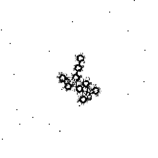 c1ccc(-c2ccc(-c3ccc(N(c4ccc(N5c6ccccc6Oc6c5n(-c5ccccc5)c5ccccc65)cc4)c4cccc5c4sc4ccccc45)cc3)cc2)cc1